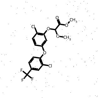 COC(=O)C(OC)Oc1cc(Oc2ccc(C(F)(F)F)cc2Cl)ccc1Cl